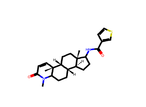 CN1C(=O)C=C[C@@]2(C)C1CC[C@@H]1[C@H]2CC[C@]2(C)C(NC(=O)c3ccsc3)CC[C@@H]12